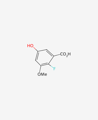 COc1cc(O)cc(C(=O)O)c1F